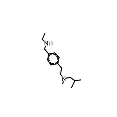 CCNCc1ccc(CCN(C)CC(C)C)cc1